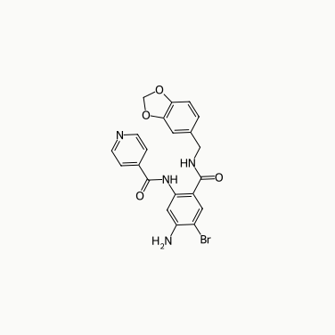 Nc1cc(NC(=O)c2ccncc2)c(C(=O)NCc2ccc3c(c2)OCO3)cc1Br